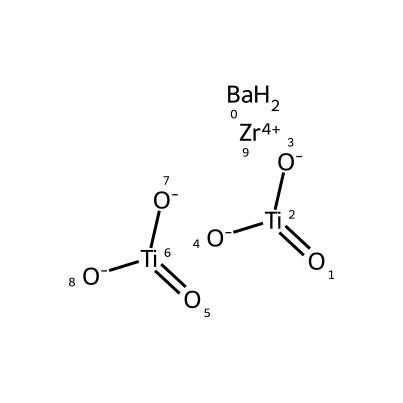 [BaH2].[O]=[Ti]([O-])[O-].[O]=[Ti]([O-])[O-].[Zr+4]